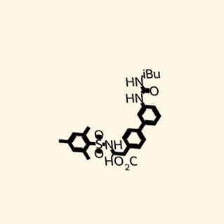 CC[C@H](C)NC(=O)Nc1cccc(-c2ccc(C[C@@H](NS(=O)(=O)c3c(C)cc(C)cc3C)C(=O)O)cc2)c1